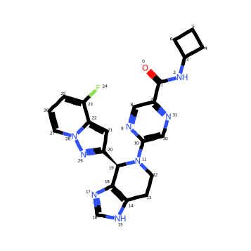 O=C(NC1CCC1)c1cnc(N2CCc3[nH]cnc3[C@H]2c2cc3c(F)cccn3n2)cn1